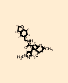 Cc1cc(C)c2c(-c3cnn(C)c3)c(C(=O)NCc3ccc4c(c3)CCO4)sc2n1